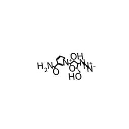 [N-]=[N+]=NC1[C@@H](O)[C@H]([n+]2cccc(C(N)=O)c2)O[C@@H]1CO